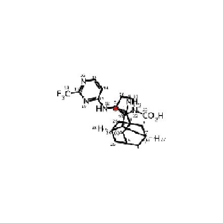 NC(=O)C12CC3C[C@H](C1)C(C1C(Nc4ccnc(C(F)(F)F)n4)CCN1C(=O)O)[C@@H](C3)C2